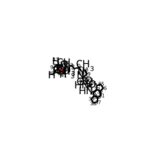 CC(CCB1O[C@@H]2C[C@@H]3C[C@@H](C3(C)C)[C@]2(C)O1)n1ccc(S(=O)(=O)NC(=O)Nc2c3c(cc4c2CCC4)CCC3)n1